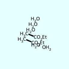 CCOC(C)=O.CCOC(C)=O.O.O.O.O.O